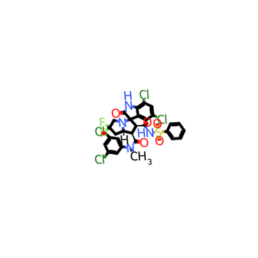 CN(C(=O)[C@H]1[C@H]2CC(F)(F)CN2C2(C(=O)Nc3c(Cl)cc(Cl)cc32)[C@H]1C(=O)NS(=O)(=O)c1ccccc1)c1cc(Cl)cc(Cl)c1